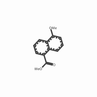 COC(=O)c1cccc2c(OC)cccc12